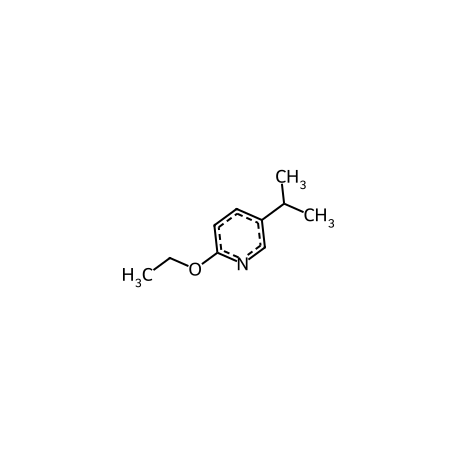 CCOc1ccc(C(C)C)cn1